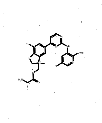 COc1ncc(Cl)cc1Nc1nccc(-c2cc(C#N)c3c(c2)[C@](C)(COC(=O)[C@H](C)N)CN3)n1